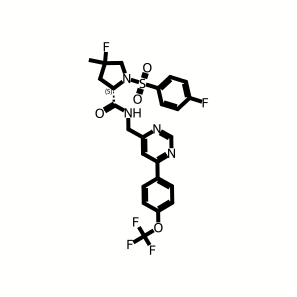 CC1(F)C[C@@H](C(=O)NCc2cc(-c3ccc(OC(F)(F)F)cc3)ncn2)N(S(=O)(=O)c2ccc(F)cc2)C1